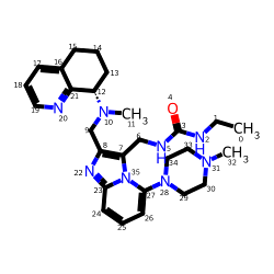 CCNC(=O)NCc1c(CN(C)[C@H]2CCCc3cccnc32)nc2cccc(N3CCN(C)CC3)n12